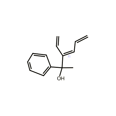 C=C/C=C(\C=C)C(C)(O)c1ccccc1